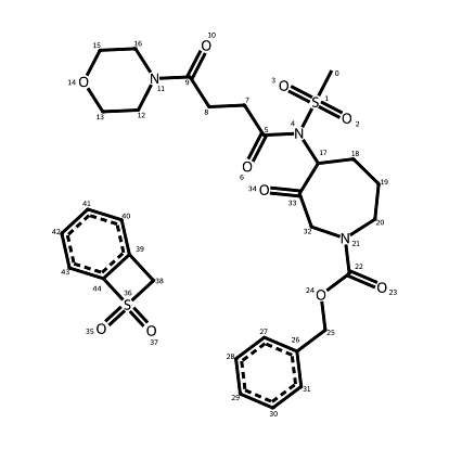 CS(=O)(=O)N(C(=O)CCC(=O)N1CCOCC1)C1CCCN(C(=O)OCc2ccccc2)CC1=O.O=S1(=O)Cc2ccccc21